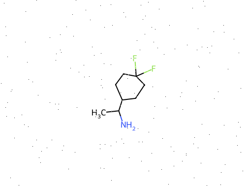 CC(N)C1CCC(F)(F)CC1